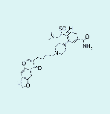 CN(C)CC(c1ccc(C(N)=O)cc1N1CCN(CCCCc2coc3cc4c(cc3c2=O)OCO4)CC1)S(=O)(=O)O